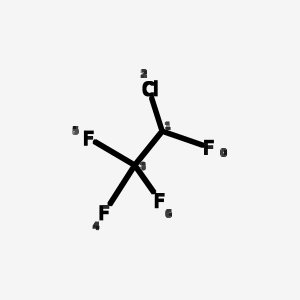 FC(Cl)C(F)(F)F